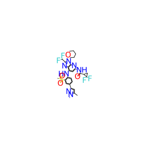 Cc1cc(-c2ccc(Nc3cc(NC(=O)C4CC4(F)F)nc4c3nc(C(F)F)n4C3CCCCO3)c(S(C)(=O)=O)c2)nn1C